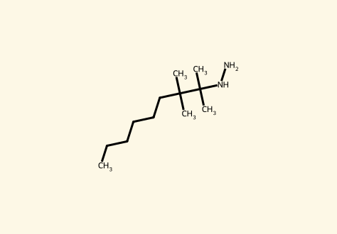 CCCCCCC(C)(C)C(C)(C)NN